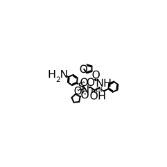 Nc1ccc(S(=O)(=O)N(C[C@@H](O)[C@H](Cc2ccccc2)NC(=O)Oc2ccoc2)OC2CCCC2)cc1